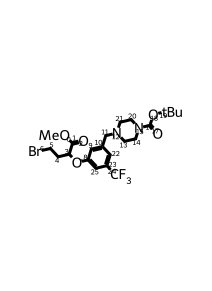 COC(=O)C(CCBr)Oc1cc(CN2CCN(C(=O)OC(C)(C)C)CC2)cc(C(F)(F)F)c1